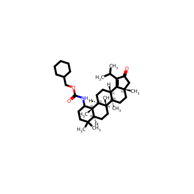 CC(C)C1=C2[C@H]3CC[C@@H]4[C@@]5(C)C(NC(=O)OCC6CCCCC6)CCC(C)(C)[C@@H]5CC[C@@]4(C)[C@]3(C)CC[C@@]2(C)CC1=O